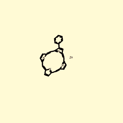 C1=CC2=NC1=CC1=NC(=CC3=NC(=CC4=NC(=C2)C=C4)C=C3c2ccccc2)C=C1.[Zn]